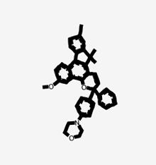 COc1ccc2c3c(c4c(c2c1)OC(c1ccccc1)(c1ccc(N2CCOCC2)cc1)C=C4)C(C)(C)c1cc(C)ccc1-3